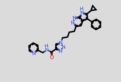 O=C(NCc1ccccn1)c1cn(CCCCc2cc3c(-c4ccccc4)c(C4CC4)[nH]c3nn2)nn1